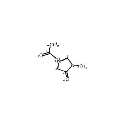 [CH2]C(=O)N1CC(=O)N(C)C1